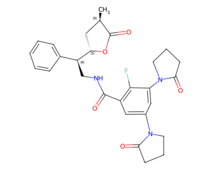 C[C@@H]1C[C@@H]([C@@H](CNC(=O)c2cc(N3CCCC3=O)cc(N3CCCC3=O)c2F)c2ccccc2)OC1=O